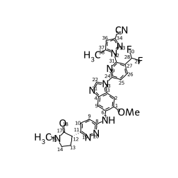 COc1cc2c(cc1Nc1ccc([C@@H]3CCN(C)C3=O)nn1)ncn2-c1ccc(C(F)F)c(-n2nc(C#N)cc2C)n1